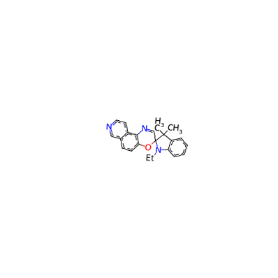 CCN1c2ccccc2C(C)(C)C12C=Nc1c(ccc3cnccc13)O2